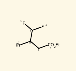 CCOC(=O)CC(C(C)C)C(F)F